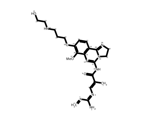 C=N/C(N)=N\C=C(/C)C(=O)NC1=Nc2c(ccc(OCCCNCCO)c2OC)C2=NCCN12